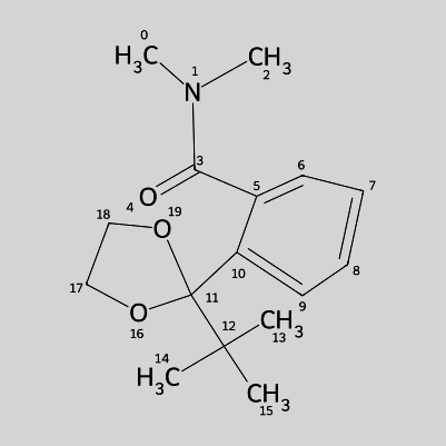 CN(C)C(=O)c1ccccc1C1(C(C)(C)C)OCCO1